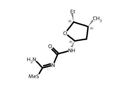 CC[C@H]1O[C@@H](NC(=O)/N=C(\N)SC)C[C@H]1C